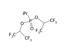 CC(C)P(=O)(OC(C(F)(F)F)C(F)(F)F)OC(C(F)(F)F)C(F)(F)F